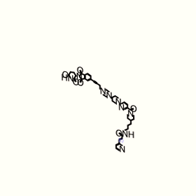 O=C(/C=C/c1cccnc1)NCCCCC1CCN(C(=O)c2ccc(N3CCC(N4CCN(CCC#Cc5ccc6c(c5)C(=O)N(C5CCC(=O)NC5=O)C6=O)CC4)CC3)nc2)CC1